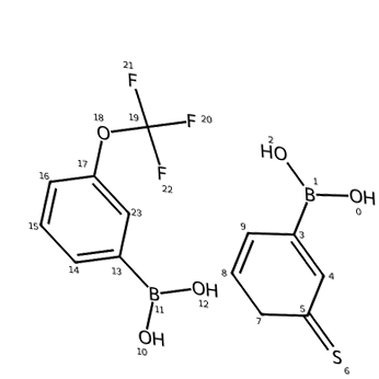 OB(O)C1=CC(=S)CC=C1.OB(O)c1cccc(OC(F)(F)F)c1